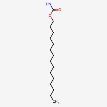 CCCCCCCCCCCCCCCOC([NH])=O